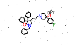 CCCOC1(c2ccc(F)cc2)CCN(CCCC2CN(Cc3ccccc3)C(=O)C2(c2ccccc2)c2ccccc2)CC1